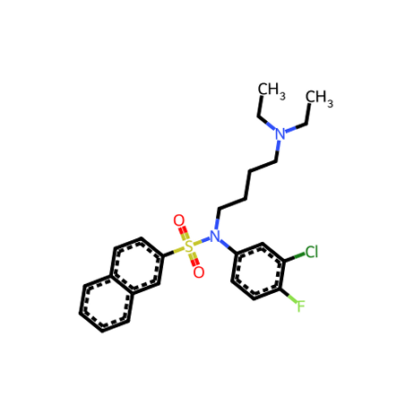 CCN(CC)CCCCN(c1ccc(F)c(Cl)c1)S(=O)(=O)c1ccc2ccccc2c1